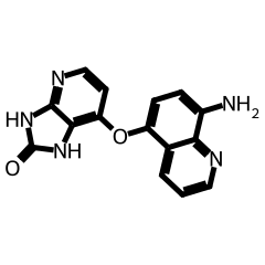 Nc1ccc(Oc2ccnc3[nH]c(=O)[nH]c23)c2cccnc12